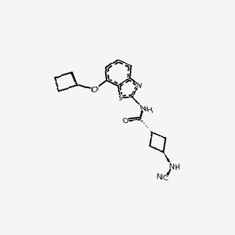 N#CN[C@H]1C[C@H](C(=O)Nc2nc3cccc(OC4CCC4)c3s2)C1